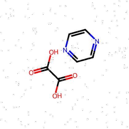 O=C(O)C(=O)O.c1cnccn1